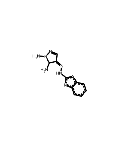 NC1C(=NNc2nc3ccccc3s2)C=NN1N